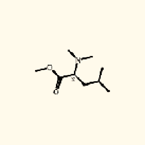 COC(=O)[C@H](CC(C)C)N(C)C